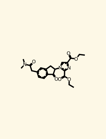 CCOC(=O)c1cn(C2Cc3cc(CC(=O)N(C)C)ccc3C2=O)c(C(=O)OCC)n1